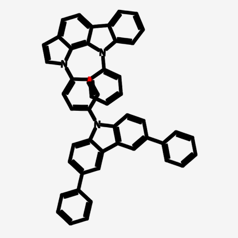 c1ccc(-c2ccc3c(c2)c2cc(-c4ccccc4)ccc2n3-c2ccc(-n3ccc4ccc5c6ccccc6n(-c6ccccc6)c5c43)cc2)cc1